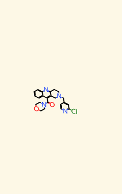 O=C(c1c2c(nc3ccccc13)CCN(Cc1ccnc(Cl)c1)C2)N1CCOCC1